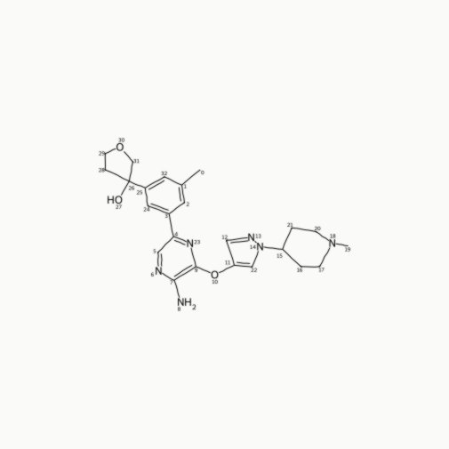 Cc1cc(-c2cnc(N)c(Oc3cnn(C4CCN(C)CC4)c3)n2)cc(C2(O)CCOC2)c1